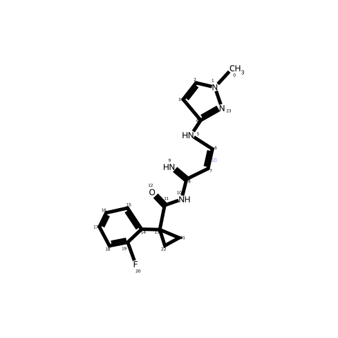 Cn1ccc(N/C=C\C(=N)NC(=O)C2(c3ccccc3F)CC2)n1